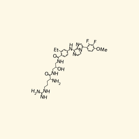 CCc1cc(Nc2nccn3c(-c4ccc(OC)c(F)c4F)cnc23)ccc1C(=O)NCC(O)CNC(=O)C(N)CCCNC(=N)N